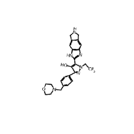 Oc1c(-c2ccc(CN3CCOCC3)cc2)nn(CC(F)(F)F)c1-c1nc2cc3c(cc2[nH]1)CNC3